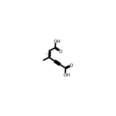 C/C(C#CC(=O)O)=C/C(=O)O